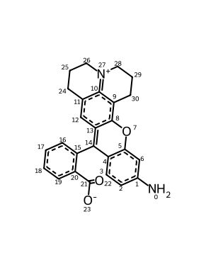 Nc1ccc2c(c1)Oc1c3c4c(cc1=C2c1ccccc1C(=O)[O-])CCC[N+]=4CCC3